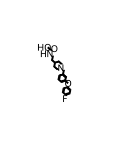 O=C(O)NCCC1CCN(Cc2cccc(Oc3ccc(F)cc3)c2)CC1